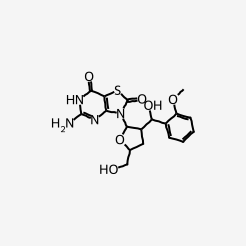 COc1ccccc1C(O)C1CC(CO)OC1n1c(=O)sc2c(=O)[nH]c(N)nc21